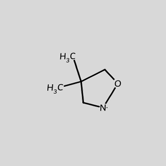 CC1(C)C[N]OC1